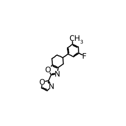 Cc1cc(F)cc(C2CCc3oc(-c4ncco4)nc3C2)c1